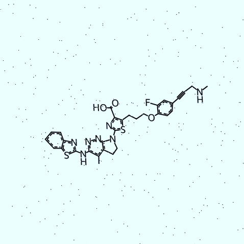 CNCC#Cc1ccc(OCCCc2sc(N3CCc4c3nnc(Nc3nc5ccccc5s3)c4C)nc2C(=O)O)c(F)c1